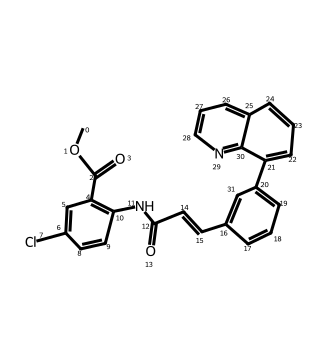 COC(=O)c1cc(Cl)ccc1NC(=O)C=Cc1cccc(-c2cccc3cccnc23)c1